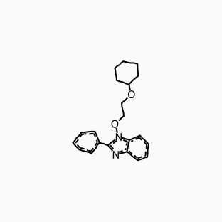 c1ccc(-c2nc3ccccc3n2OCCOC2CCCCC2)cc1